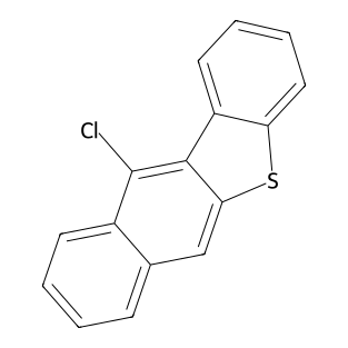 Clc1c2ccccc2cc2sc3ccccc3c12